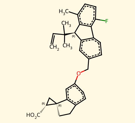 C=CC(C)(C)[C@@H]1c2cc(COc3ccc4c(c3)[C@]3(CC4)C[C@H]3C(=O)O)ccc2-c2c(F)ccc(C)c21